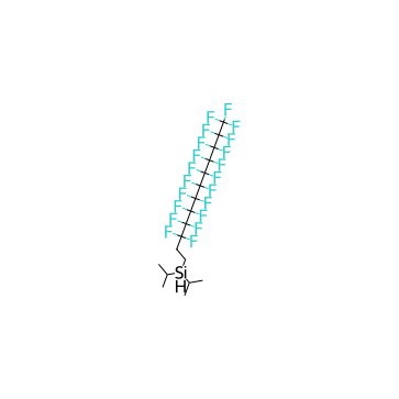 CC(C)[SiH](CCC(F)(F)C(F)(F)C(F)(F)C(F)(F)C(F)(F)C(F)(F)C(F)(F)C(F)(F)C(F)(F)C(F)(F)F)C(C)C